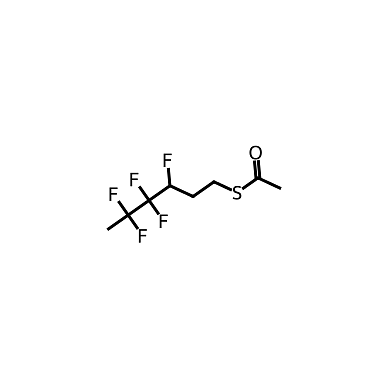 CC(=O)SCCC(F)C(F)(F)C(C)(F)F